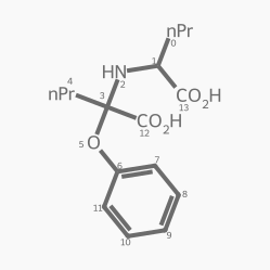 CCCC(NC(CCC)(Oc1ccccc1)C(=O)O)C(=O)O